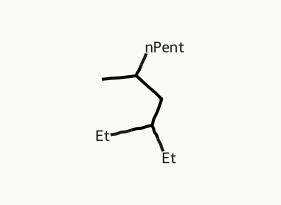 CCCCCC(C)CC(CC)CC